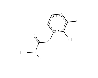 CN(C)C(=O)Nc1cccc(Cl)c1Cl